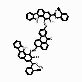 C#Cc1ccccc1NC(=O)c1cc2ccc3c4ccccc4[nH]c3c2c(N=Nc2ccc3c(c2)C(=O)c2cccc4c(N=Nc5c(O)c(C(ON)c6ccccc6C#C)cc6ccc7c8ccccc8[nH]c7c56)ccc-3c24)c1O